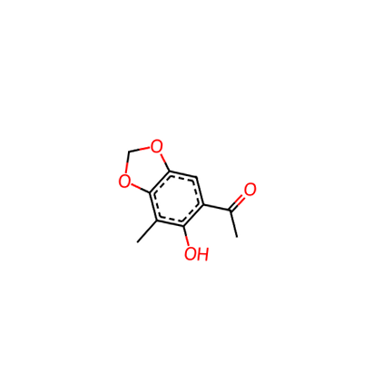 CC(=O)c1cc2c(c(C)c1O)OCO2